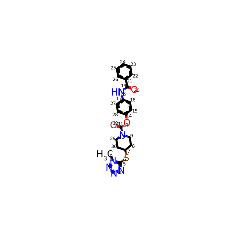 Cn1nnnc1SC1CCN(C(=O)Oc2ccc(NC(=O)c3ccccc3)cc2)CC1